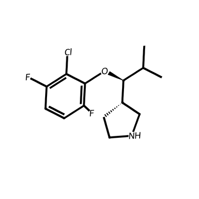 CC(C)[C@H](Oc1c(F)ccc(F)c1Cl)[C@H]1CCNC1